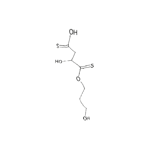 OCCCOC(=S)C(O)CC(O)=S